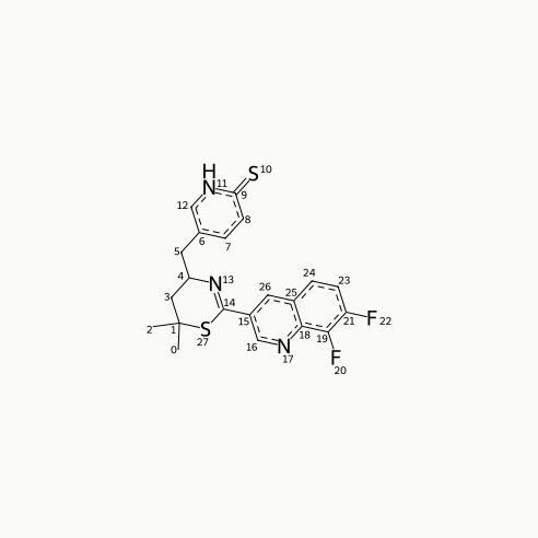 CC1(C)CC(Cc2ccc(=S)[nH]c2)N=C(c2cnc3c(F)c(F)ccc3c2)S1